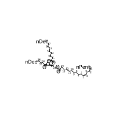 CCCCC/C=C\C/C=C\CCCCCCCCCC(=O)OC[C@H](COC(=O)CCCCCCCCCCCCC)OC(=O)CCCCCCCCCCCCCCCCC